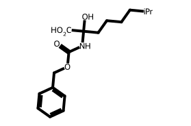 CC(C)CCCCC(O)(NC(=O)OCc1ccccc1)C(=O)O